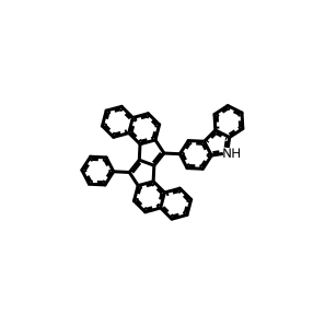 c1ccc(C2=C3C(=C(c4ccc5[nH]c6ccccc6c5c4)c4ccc5ccccc5c43)c3c2ccc2ccccc32)cc1